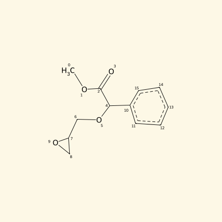 COC(=O)C(OCC1CO1)c1ccccc1